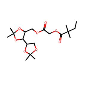 CCC(C)(C)C(=O)OCC(=O)OCC1OC(C)(C)OC1C1COC(C)(C)O1